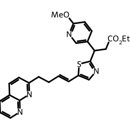 CCOC(=O)CC(c1ccc(OC)nc1)c1ncc(/C=C/CCc2ccc3cccnc3n2)s1